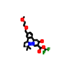 COCCOCc1ccc2c(c1)C1CCC(C)(C)N1n1cc(C(=O)OC(F)F)c(=O)cc1-2